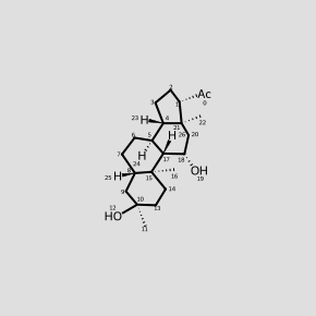 CC(=O)[C@H]1CC[C@H]2[C@@H]3CC[C@H]4C[C@](C)(O)CC[C@]4(C)[C@H]3[C@@H](O)C[C@]12C